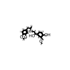 COCc1cc(C(O)CNC(C)Cc2ccc3c(c2)OCO3)ccc1O